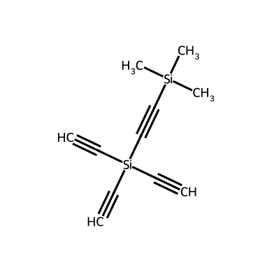 C#C[Si](C#C)(C#C)C#C[Si](C)(C)C